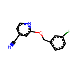 N#Cc1ccnc(OCc2cccc(F)c2)c1